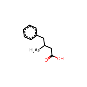 O=C(O)CC([AsH2])Cc1ccccc1